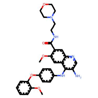 COc1ccccc1Oc1ccc(Nc2c(N)cnc3cc(C(=O)NCCN4CCOCC4)c(OC)cc23)cc1